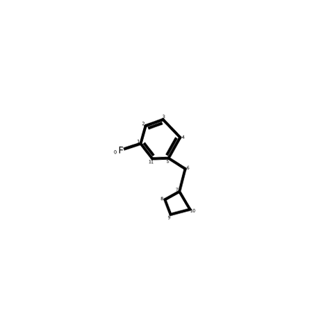 Fc1cccc(C[C]2CCC2)c1